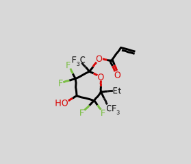 C=CC(=O)OC1(C(F)(F)F)OC(CC)(C(F)(F)F)C(F)(F)C(O)C1(F)F